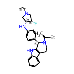 C=C(CC)N1CCc2c([nH]c3ccccc23)[C@H]1c1ccc(N[C@@H]2CN(CCC)C[C@@H]2F)cc1